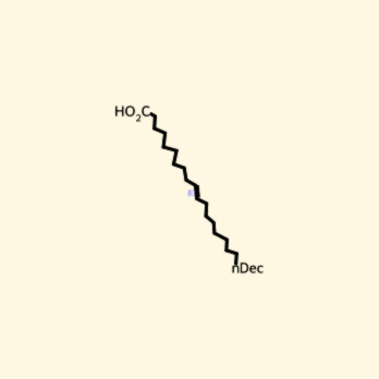 CCCCCCCCCCCCCCCCC/C=C/CCCCCCCCC(=O)O